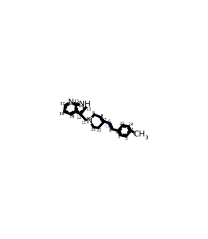 Cc1ccc(/C=C/C2=CCN(Cc3c[nH]c4ncccc34)CC2)cc1